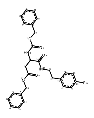 O=C(CC(NC(=O)OCc1ccccc1)C(=O)NCCc1ccc(F)cc1)OCc1ccccc1